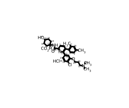 Cc1ccc(-c2ccc(C(=O)NC3(C(=O)O)CCC(O)CC3)nc2-c2ccc(Cl)c(OCCCN(C)C)c2)c(C)c1.Cl